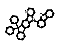 c1ccc(C2(c3ccccc3)c3ccccc3-c3cc4c(cc32)c2ncccc2n4-c2cccc3c2oc2ccccc23)cc1